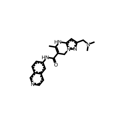 CC1=C(C(=O)Nc2ccc3cnccc3c2)Cn2nc(CN(C)C)cc2N1